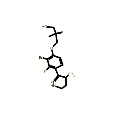 CC1CCNN=C1c1ccc(OCC(F)(F)CO)c(Br)c1F